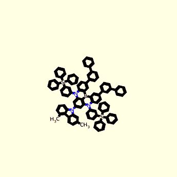 Cc1ccc2c3c(C)cccc3n(-c3cc4c5c(c3)N(c3cccc([Si](c6ccccc6)(c6ccccc6)c6ccccc6)c3)c3ccc(-c6cccc(-c7ccccc7)c6)cc3B5c3cc(-c5cccc(-c6ccccc6)c5)ccc3N4c3cccc([Si](c4ccccc4)(c4ccccc4)c4ccccc4)c3)c2c1